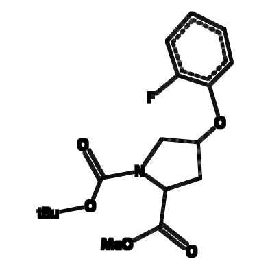 COC(=O)C1CC(Oc2ccccc2F)CN1C(=O)OC(C)(C)C